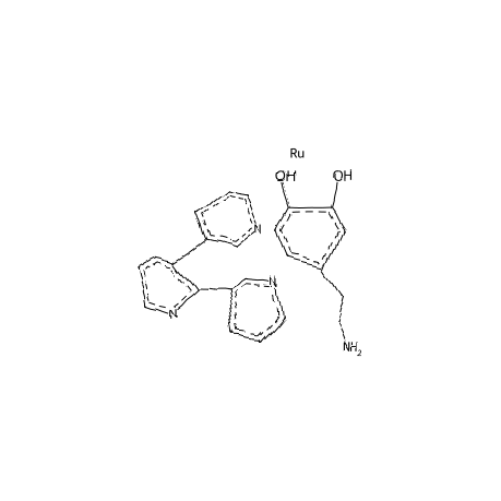 NCCc1ccc(O)c(O)c1.[Ru].c1cncc(-c2cccnc2-c2cccnc2)c1